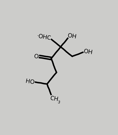 CC(O)CC(=O)C(O)([C]=O)CO